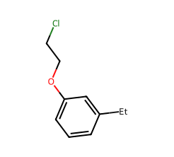 [CH2]Cc1cccc(OCCCl)c1